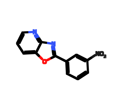 O=[N+]([O-])c1cccc(-c2nc3ncccc3o2)c1